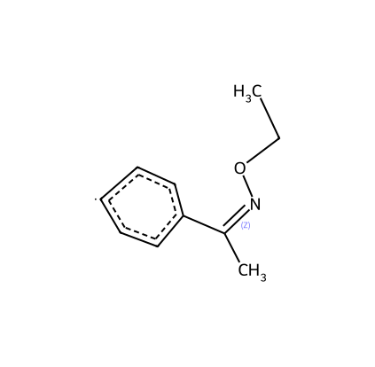 CCO/N=C(/C)c1cc[c]cc1